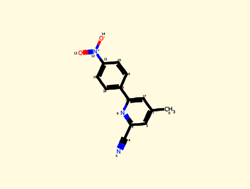 Cc1cc(C#N)nc(-c2ccc([N+](=O)[O-])cc2)c1